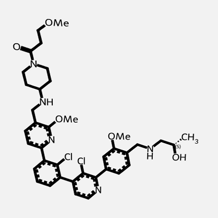 COCCC(=O)N1CCC(NCc2ccc(-c3cccc(-c4ccnc(-c5ccc(CNC[C@H](C)O)c(OC)c5)c4Cl)c3Cl)nc2OC)CC1